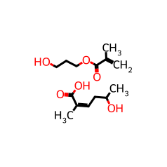 C=C(C)C(=O)OCCCO.CC(=CCC(C)O)C(=O)O